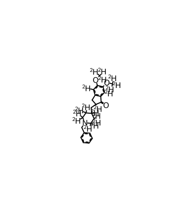 [2H]c1c2c(c([2H])c(OC([2H])([2H])[2H])c1OC([2H])([2H])[2H])C(=O)C([2H])(CC1([2H])C([2H])([2H])C([2H])([2H])N(Cc3ccccc3)C([2H])([2H])C1([2H])[2H])C2